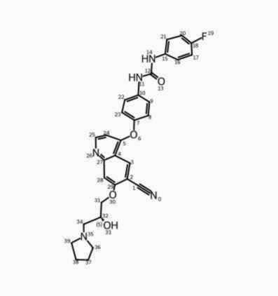 N#Cc1cc2c(Oc3ccc(NC(=O)Nc4ccc(F)cc4)cc3)ccnc2cc1OC[C@@H](O)CN1CCCC1